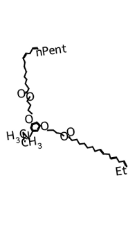 CC/C=C\CC=CCC=CCCCCCCCC(=O)OCCCCOc1cc(CN(C)C)cc(OCCCCOC(=O)CCCCCCC/C=C\C/C=C\CCCCC)c1